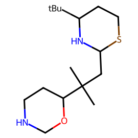 CC(C)(C)C1CCSC(CC(C)(C)C2CCNCO2)N1